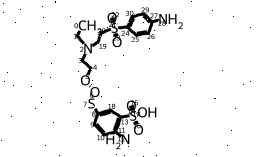 CCN(CCOOSc1ccc(N)c(S(=O)(=O)O)c1)CCS(=O)(=O)c1ccc(N)cc1